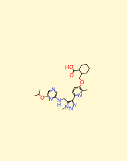 Cc1nc(-c2nnn(C)c2CNc2cncc(OC(C)C)n2)ccc1OCC1CCCCC1C(=O)O